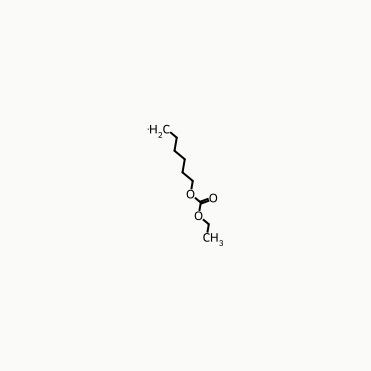 [CH2]CCCCCOC(=O)OCC